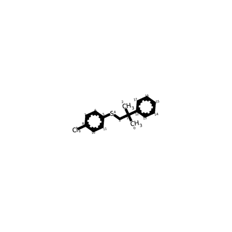 CC(C)(CSc1ccc(Cl)cc1)c1ccccc1